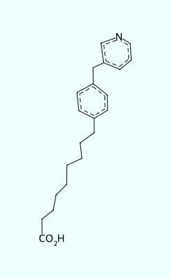 O=C(O)CCCCCCCCc1ccc(Cc2cccnc2)cc1